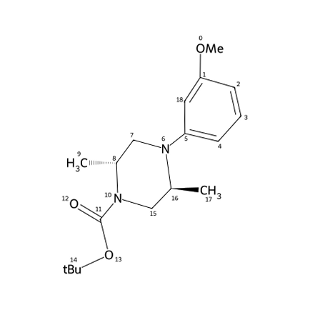 COc1cccc(N2C[C@@H](C)N(C(=O)OC(C)(C)C)C[C@@H]2C)c1